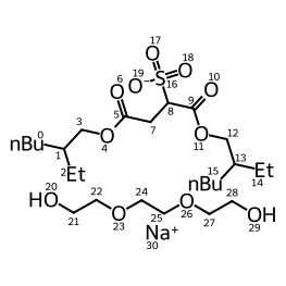 CCCCC(CC)COC(=O)CC(C(=O)OCC(CC)CCCC)S(=O)(=O)[O-].OCCOCCOCCO.[Na+]